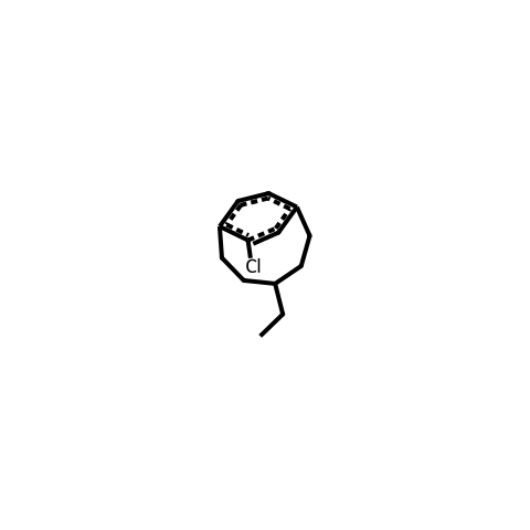 CCC1CCc2ccc(c(Cl)c2)CC1